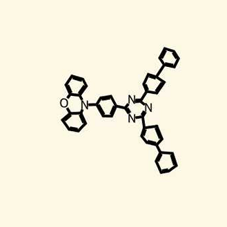 c1ccc(-c2ccc(-c3nc(-c4ccc(-c5ccccc5)cc4)nc(-c4ccc(N5c6ccccc6Oc6ccccc65)cc4)n3)cc2)cc1